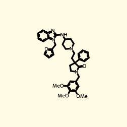 COc1cc(CN2CCC(CCN3CCC(Nc4nc5ccccc5n4Cc4ccco4)CC3)(c3ccccc3)C2=O)cc(OC)c1OC